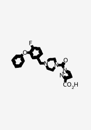 O=C(O)c1ccn(C(=O)N2CCN(Cc3ccc(F)c(Oc4ccccc4)c3)CC2)n1